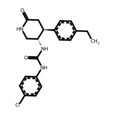 CCc1ccc([C@@H]2CC(=O)NC[C@H]2NC(=O)Nc2ccc(Cl)cc2)cc1